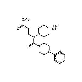 COC(=O)CCN(C(=O)N1CCN(c2ccccn2)CC1)N1CCCCC1.Cl.Cl